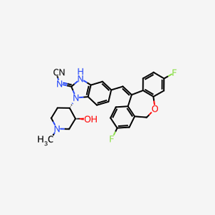 CN1CC[C@H](n2/c(=N/C#N)[nH]c3cc(/C=C4\c5ccc(F)cc5COc5cc(F)ccc54)ccc32)[C@@H](O)C1